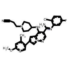 COc1cc(C)c(-c2cc3c(NC4CCN(CCC#N)CC4)c(/C(N)=N/c4cc(F)ccc4Cl)cnn3c2)cn1